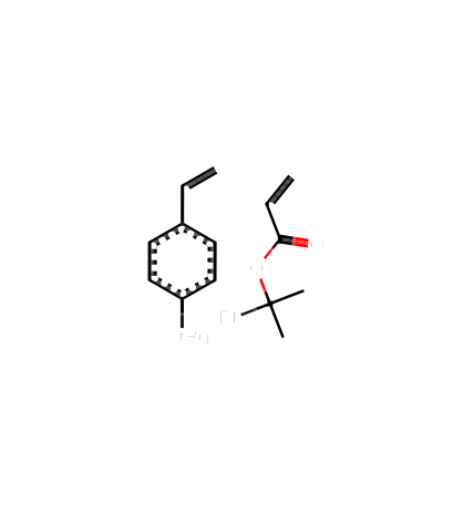 C=CC(=O)OC(C)(C)CC.C=Cc1ccc(C(C)(C)C)cc1